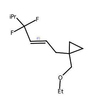 CCOCC1(C/C=C/C(F)(F)C(C)C)CC1